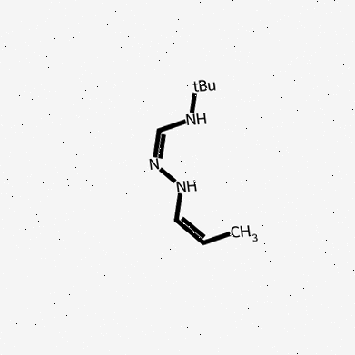 C/C=C\N/N=C\NC(C)(C)C